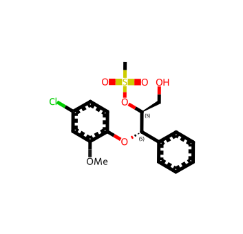 COc1cc(Cl)ccc1O[C@@H](c1ccccc1)[C@H](CO)OS(C)(=O)=O